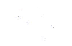 COc1cc2c(=O)[nH]cnc2cc1OCCN(C)c1ccncc1